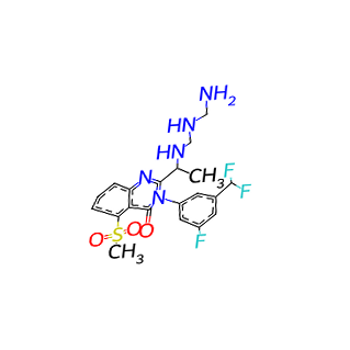 CC(NCNCN)c1nc2cccc(S(C)(=O)=O)c2c(=O)n1-c1cc(F)cc(C(F)F)c1